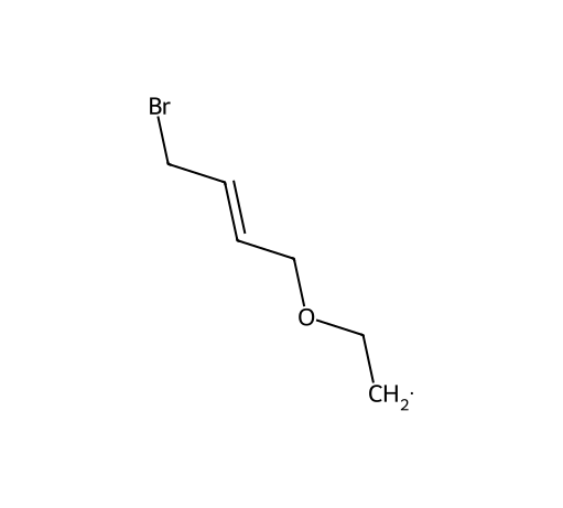 [CH2]COC/C=C/CBr